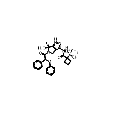 CC1(C)c2[nH]nc(NC(=O)C3(S(C)(C)C)CCC3)c2CN1C(=O)C(Oc1ccccc1)c1ccccc1